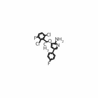 CC(Oc1cc(-c2ccc(F)cc2)cnc1N)c1c(Cl)ccc(F)c1Cl